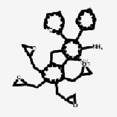 Nc1c(N)c(-c2ccccc2)c(-c2ccccc2)c2c1-c1c(c(CC3CO3)c(CC3CO3)c(CC3CO3)c1CC1CO1)C2